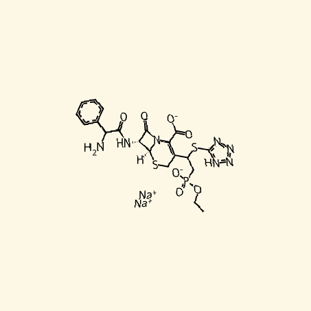 CCOP(=O)([O-])CC(Sc1nnn[nH]1)C1=C(C(=O)[O-])N2C(=O)[C@@H](NC(=O)C(N)c3ccccc3)[C@@H]2SC1.[Na+].[Na+]